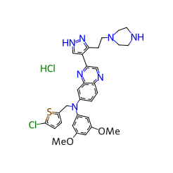 COc1cc(OC)cc(N(Cc2ccc(Cl)s2)c2ccc3ncc(-c4c[nH]nc4CCN4CCNCC4)nc3c2)c1.Cl